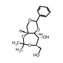 CC1(C)O[C@H](CO)[C@@H](O)[C@@H]2OC(c3ccccc3)OC[C@H]2O1